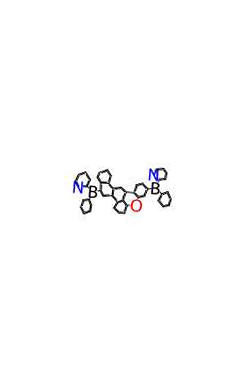 c1ccc(B(c2ccc3c(c2)Oc2cccc4c2c-3cc2c3ccccc3c(B(c3ccccc3)c3ccccn3)cc42)c2ccccn2)cc1